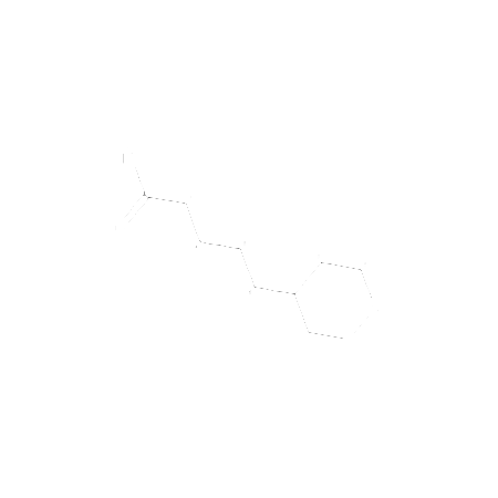 O=C(O)CCCCC1CCSSC1